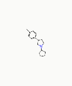 Cc1ccc(C2CCN(C3CCCC3)C2)cc1